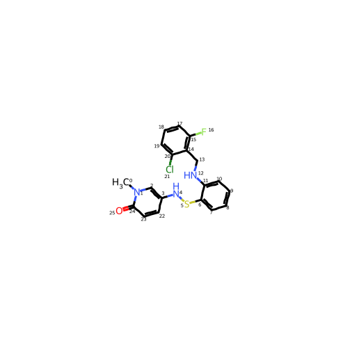 Cn1cc(NSc2ccccc2NCc2c(F)cccc2Cl)ccc1=O